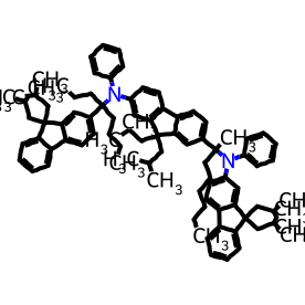 CCCCCCC(C)(c1ccc2c(c1)C(CC(C)C)(CC(C)C)c1cc(N(c3ccccc3)C(CCC)(CCCC)c3ccc4c(c3)C(CC(C)C)(CC(C)C)c3ccccc3-4)ccc1-2)N(c1ccccc1)c1ccc2c(c1)C(CC(C)C)(CC(C)C)c1ccccc1-2